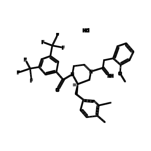 COc1ccccc1CC(=N)N1CCN(C(=O)c2cc(C(F)(F)F)cc(C(F)(F)F)c2)[C@H](Cc2ccc(C)c(C)c2)C1.Cl